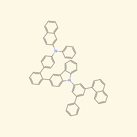 c1ccc(-c2cc(-c3cccc4ccccc34)cc(-n3c4ccccc4c4cc(-c5ccccc5-c5ccc(N(c6ccccc6)c6ccc7ccccc7c6)cc5)ccc43)c2)cc1